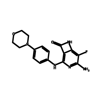 Nc1nc(Nc2ccc(N3CCOCC3)cc2)c2c(c1F)NC2=O